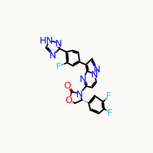 O=C1OC[C@@H](c2ccc(F)c(F)c2)N1c1ccn2ncc(-c3ccc(-c4nc[nH]n4)c(F)c3)c2n1